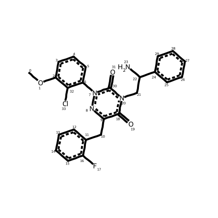 COc1cccc(-n2nc(Cc3ccccc3F)c(=O)n(CC(N)c3ccccc3)c2=O)c1Cl